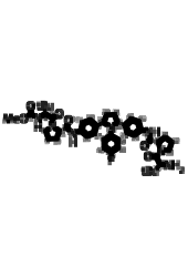 COC(=O)N[C@H](C(=O)N1CCC[C@H]1C(=O)Nc1ccc([C@H]2CC[C@H](c3ccc(NC(=O)[C@@H]4CCCN4C(=O)[C@@H](N)C(C)(C)C)cc3)N2c2ccc(F)cc2)cc1)C(C)(C)C